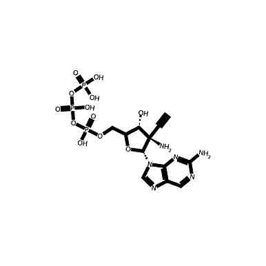 C#C[C@@]1(N)[C@@H](O)C(COP(=O)(O)OP(=O)(O)OP(=O)(O)O)O[C@H]1n1cnc2cnc(N)nc21